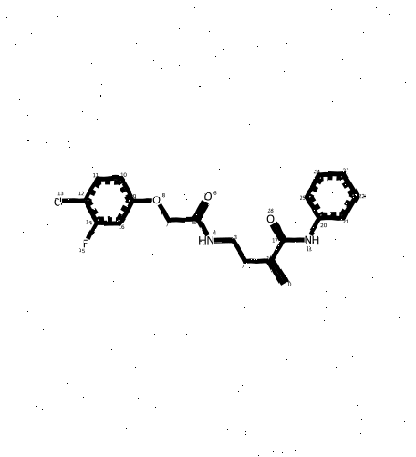 C=C(CCNC(=O)COc1ccc(Cl)c(F)c1)C(=O)Nc1ccccc1